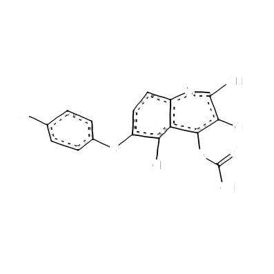 CC(=O)Oc1c(C)c(C)nc2ccc(Sc3ccc(Cl)cc3)c(Cl)c12